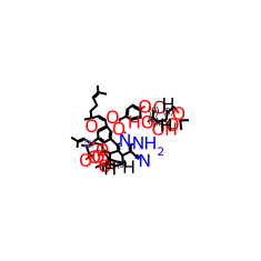 COC(=O)/C(C)=C\CC12OC(C)(C)[C@H]3C[C@H](C1=O)C1C(C#N)=C(N)N(C)C4=C1C32Oc1c(CC=C(C)C)c2c(c(OC(=O)c3ccc(O[C@@H]5O[C@@H]6COC(C)(C)O[C@H]6[C@H](O)[C@H]5O)cc3)c14)C=CC(C)(CCC=C(C)C)O2